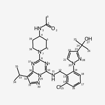 CC(=O)NC1CCN(c2nc(NCc3c(Cl)cccc3-n3ccc(C(C)(C)O)n3)n3ncc(C(C)C)c3n2)CC1